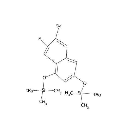 [2H]c1cc2cc(O[Si](C)(C)C(C)(C)C)cc(O[Si](C)(C)C(C)(C)C)c2cc1F